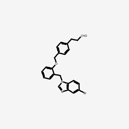 O=CCCc1ccc(COc2ccccc2Cn2cnc3cc(Br)ccc32)cc1